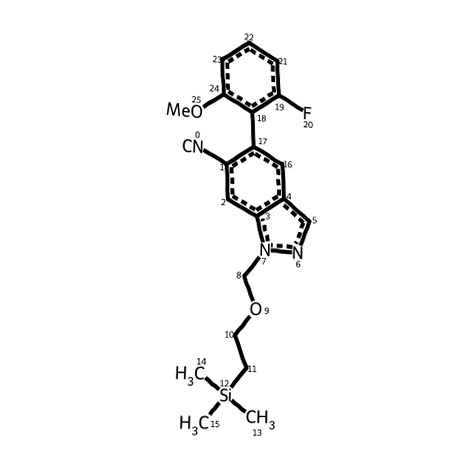 [C-]#[N+]c1cc2c(cnn2COCC[Si](C)(C)C)cc1-c1c(F)cccc1OC